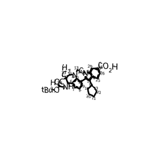 CC(C)(C)OC(=O)N[C@H]1c2cccc3c2N(CCn2c-3c(C3CCCCC3)c3ccc(C(=O)O)cc32)CC1(C)C